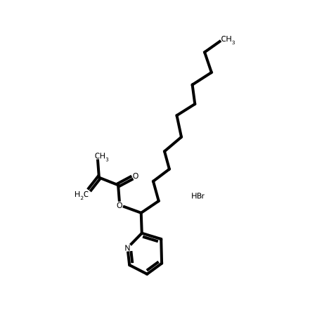 Br.C=C(C)C(=O)OC(CCCCCCCCCCC)c1ccccn1